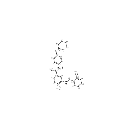 O=C(Nc1ccc(CN2CCCCC2)cc1)c1ccc(Cl)c(OCc2ccccc2Cl)c1